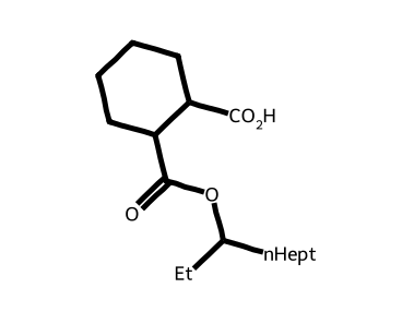 CCCCCCCC(CC)OC(=O)C1CCCCC1C(=O)O